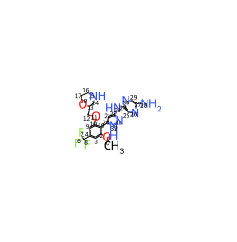 COc1cc(C(F)(F)F)cc(OC[C@@H]2CNCCO2)c1-c1cc(Nc2cnc(N)cn2)n[nH]1